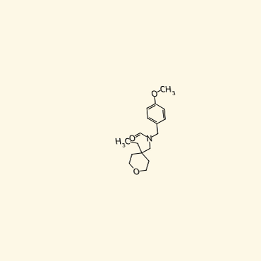 CCC1(CN(C=O)Cc2ccc(OC)cc2)CCOCC1